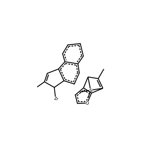 CC1=C2c3occc3C1[Si]2(C)C.CC1=Cc2c(ccc3ccccc23)[CH]1[Zr]